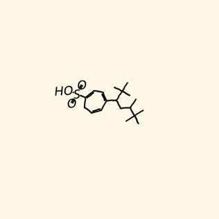 CC(CC(C1=CC=C(S(=O)(=O)O)CC=C1)C(C)(C)C)C(C)(C)C